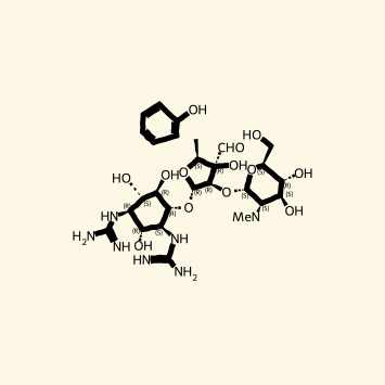 CN[C@@H]1[C@H](O[C@H]2[C@H](O[C@H]3[C@H](O)[C@@H](O)[C@H](NC(=N)N)[C@@H](O)[C@@H]3NC(=N)N)O[C@@H](C)[C@]2(O)C=O)O[C@@H](CO)[C@H](O)[C@H]1O.Oc1ccccc1